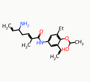 C=Cc1cc(NC(=O)/C(C)=C/CC(N)C=C)cc(CC)c1OC(C)O